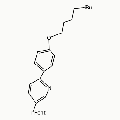 CCCCCc1ccc(-c2ccc(OCCCCC(C)CC)cc2)nc1